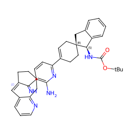 CC(C)(C)OC(=O)N[C@@H]1c2ccccc2C[C@@]12CC=C(c1ccc(C(=N)/C3=C\c4cccnc4CCCC3)c(N)n1)CC2